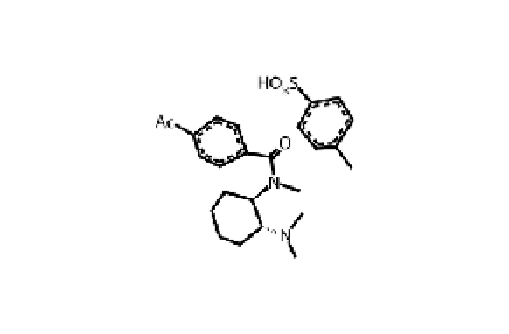 CC(=O)c1ccc(C(=O)N(C)[C@@H]2CCCC[C@H]2N(C)C)cc1.Cc1ccc(S(=O)(=O)O)cc1